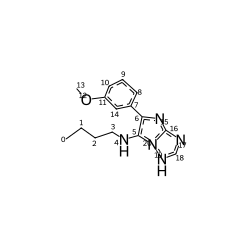 CCCCNc1c(-c2cccc(OC)c2)nc2nc[nH]n12